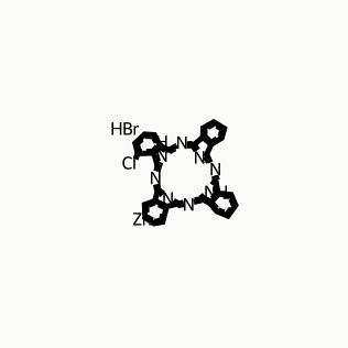 Br.Clc1cccc2c3nc4nc(nc5[nH]c(nc6nc(nc([nH]3)c12)-c1ccccc1-6)c1ccccc51)-c1ccccc1-4.[Zn]